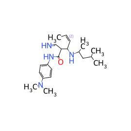 C/C=C\C(NC(C)CC(C)C)C(C=N)C(=O)Nc1ccc(N(C)C)cc1